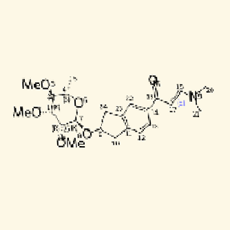 CO[C@@H]1[C@@H](OC)[C@H](C)O[C@@H](OC2Cc3ccc(C(=O)/C=C/N(C)C)cc3C2)[C@@H]1OC